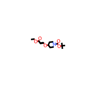 CCOC(=O)C=COC1CCN(C(=O)OC(C)(C)C)CC1